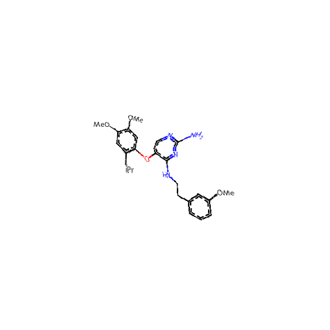 COc1cccc(CCNc2nc(N)ncc2Oc2cc(OC)c(OC)cc2C(C)C)c1